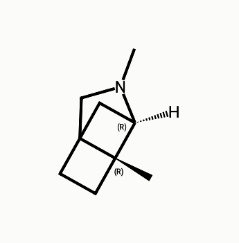 CN1CC23CC[C@@]2(C)[C@H]1C3